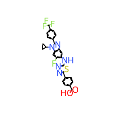 O=C(O)c1ccc(-c2nnc(Nc3cc4nc(-c5ccc(C(F)(F)F)cc5)n(C5CC5)c4cc3F)s2)cc1